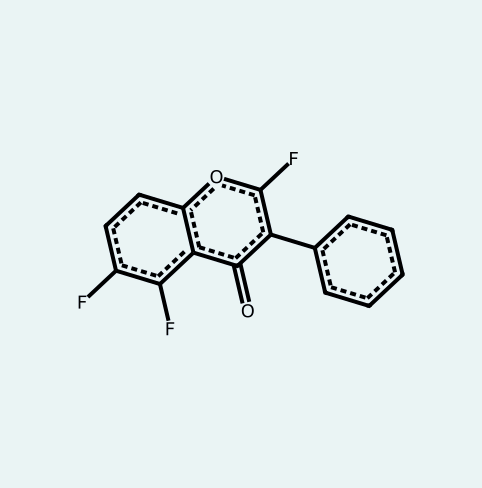 O=c1c(-c2ccccc2)c(F)oc2ccc(F)c(F)c12